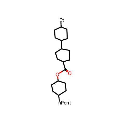 CCCCCC1CCC(OC(=O)C2CCC(C3CCC(CC)CC3)CC2)CC1